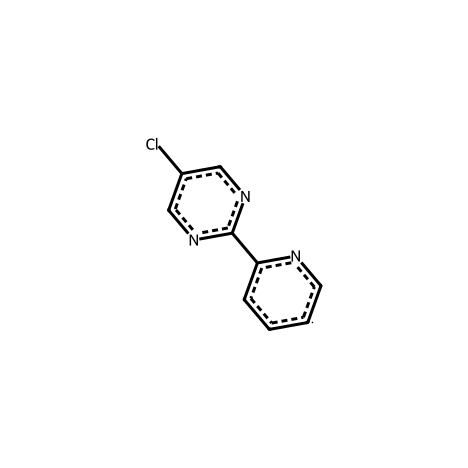 Clc1cnc(-c2cc[c]cn2)nc1